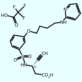 C#C[C@H](CC(=O)O)NS(=O)(=O)c1cccc(OCCCCNc2ccccn2)c1.O=C(O)C(F)(F)F